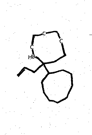 C=CCC1(C2CCCCCCCC2)BCCCCCCC1